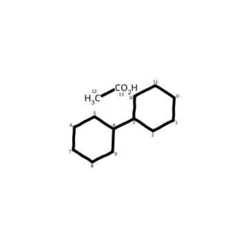 C1CCC(C2CCCCC2)CC1.CC(=O)O